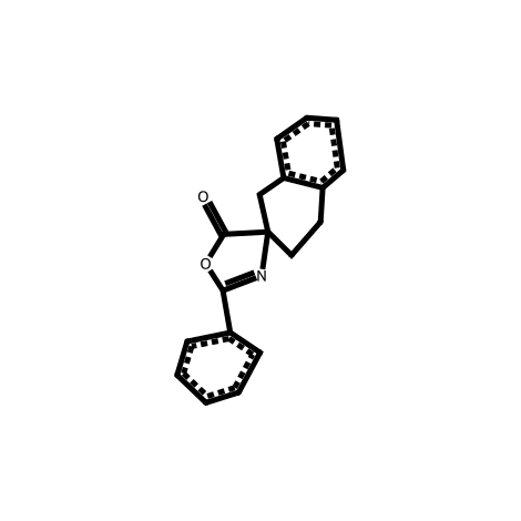 O=C1OC(c2ccccc2)=NC12CCc1ccccc1C2